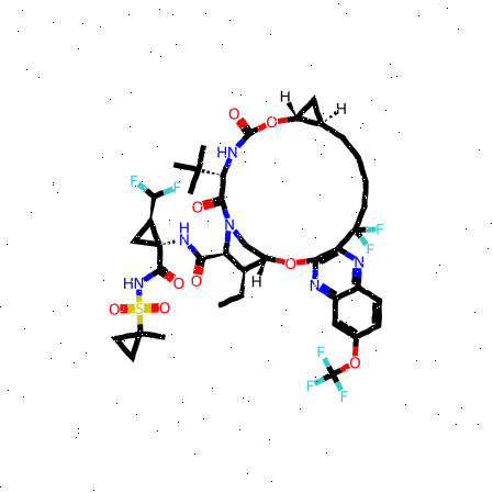 CC[C@@H]1[C@@H]2CN(C(=O)[C@H](C(C)(C)C)NC(=O)O[C@@H]3C[C@H]3CCCCC(F)(F)c3nc4ccc(OC(F)(F)F)cc4nc3O2)[C@@H]1C(=O)N[C@]1(C(=O)NS(=O)(=O)C2(C)CC2)C[C@H]1C(F)F